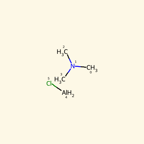 CN(C)C.[AlH2][Cl]